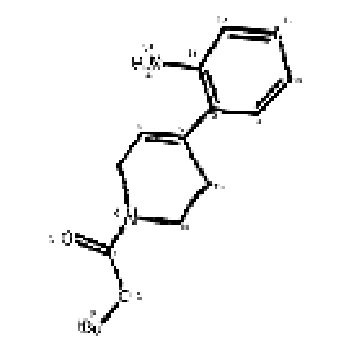 CC(C)(C)OC(=O)N1CC=C(c2ccncc2N)CC1